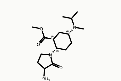 COC(=O)[C@H]1C[C@H](N(C)C(C)C)CC[C@@H]1N1CCC(N)C1=O